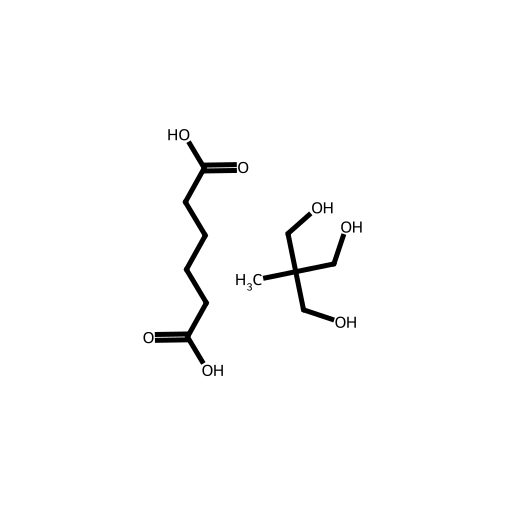 CC(CO)(CO)CO.O=C(O)CCCCC(=O)O